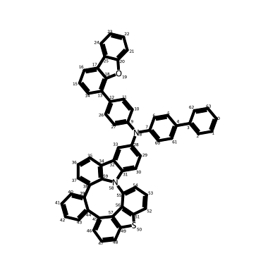 c1ccc(-c2ccc(N(c3ccc(-c4cccc5c4oc4ccccc45)cc3)c3ccc4c(c3)c3cccc5c6ccccc6c6cccc7sc8cccc(c8c76)n4c53)cc2)cc1